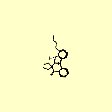 C=C1c2ccccc2N2c3cccc(CCCC)c3NC2C1(CC)CC